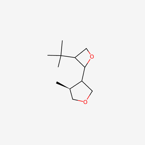 C[C@@H]1COCC1C1OCC1C(C)(C)C